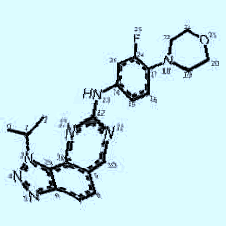 CC(C)n1nnc2ccc3cnc(Nc4ccc(N5CCOCC5)c(F)c4)nc3c21